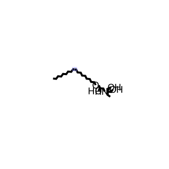 CCCCCCCC/C=C\CCCCCCCCOCC(O)CNC(CC)(CO)CO